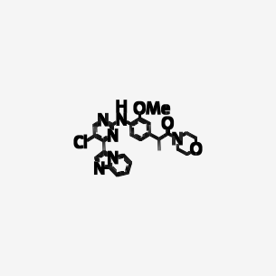 COc1cc(C(C)C(=O)N2CCOCC2)ccc1Nc1ncc(Cl)c(-c2cnc3ccccn23)n1